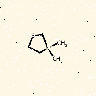 C[N+]1(C)[CH]SCC1